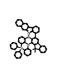 CC1(C)c2ccccc2-c2cc3c4c(c21)N1c2ccccc2[Si](c2ccccc2)(c2ccccc2)c2cccc(c21)B4n1c2cc4ccccc4cc2c2cccc-3c21